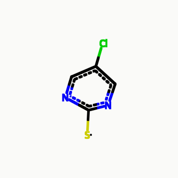 [S]c1ncc(Cl)cn1